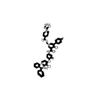 CC(C)(C)OC(=O)N1CCC(C(=O)OCn2cc(C(=O)Nc3ccc(Oc4ccnc(NC(c5ccccc5)c5ccccc5)c4Cl)c(F)c3)c(=O)c(-c3ccc(F)cc3)c2)CC1